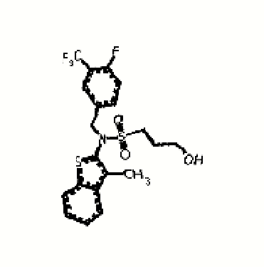 Cc1c(N(Cc2ccc(F)c(C(F)(F)F)c2)S(=O)(=O)CCCO)sc2ccccc12